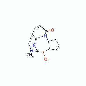 C.O=c1ccc2cnc3nc2n1C1CCCC1[S+]3[O-]